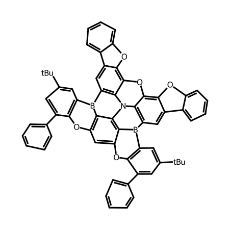 CC(C)(C)c1cc2c(c(-c3ccccc3)c1)Oc1cc3c4c5c1B2c1cc2c(oc6ccccc62)c2c1N5c1c(cc5c(oc6ccccc65)c1O2)B4c1cc(C(C)(C)C)cc(-c2ccccc2)c1O3